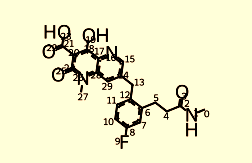 CNC(=O)CCc1cc(F)ccc1Cc1cnc2c(O)c(C(=O)O)c(=O)n(C)c2c1